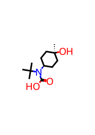 CC(C)(C)N(C(=O)O)[C@H]1CC[C@@](C)(O)CC1